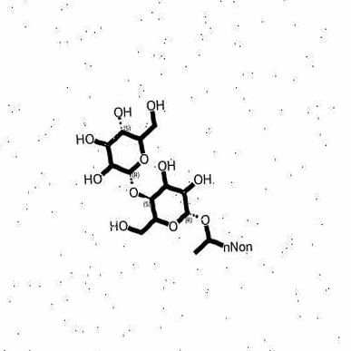 CCCCCCCCCC(C)O[C@@H]1OC(CO)[C@@H](O[C@H]2OC(CO)[C@@H](O)C(O)C2O)C(O)C1O